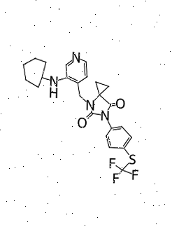 O=C1N(c2ccc(SC(F)(F)F)cc2)C(=O)C2(CC2)N1Cc1ccncc1NC1CCCCC1